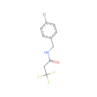 O=C(CC(F)(F)F)NCc1ccc(Cl)cc1